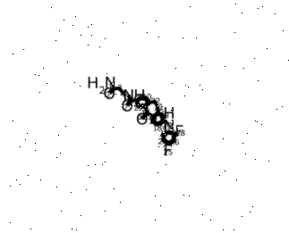 NC(=O)CCNC(=O)c1ccc2c(c1)C(=O)c1ccc(Nc3ccc(F)cc3F)cc1CC2